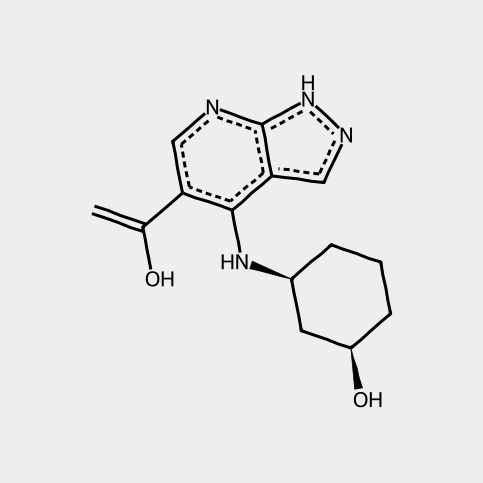 C=C(O)c1cnc2[nH]ncc2c1N[C@H]1CCC[C@@H](O)C1